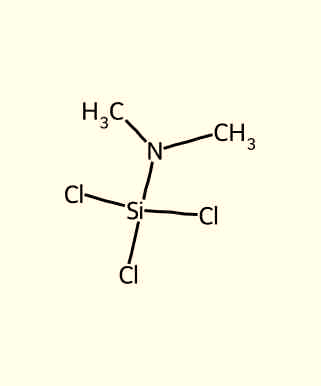 CN(C)[Si](Cl)(Cl)Cl